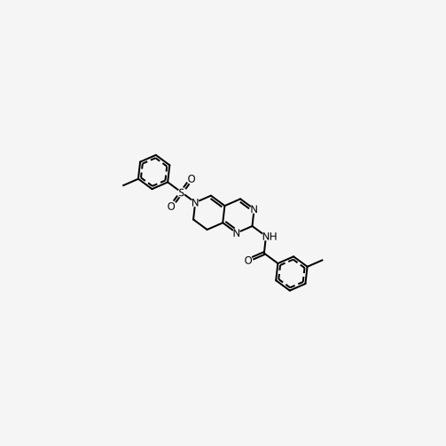 Cc1cccc(C(=O)NC2N=CC3=CN(S(=O)(=O)c4cccc(C)c4)CCC3=N2)c1